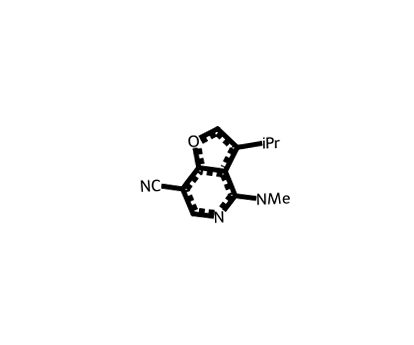 CNc1ncc(C#N)c2occ(C(C)C)c12